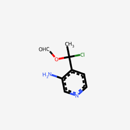 CC(Cl)(OC=O)c1ccncc1N